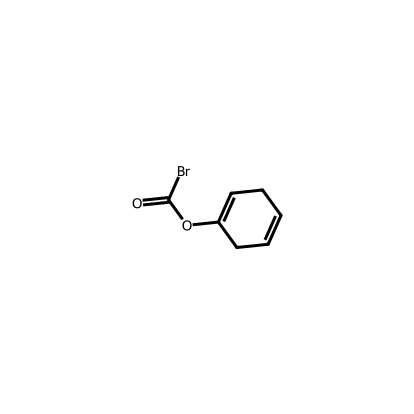 O=C(Br)OC1=CCC=CC1